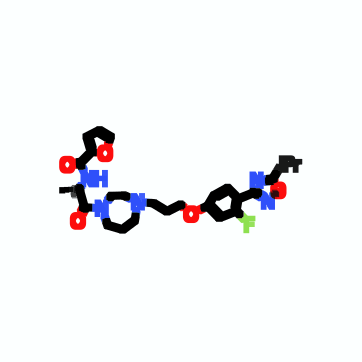 CC(C)c1nc(-c2ccc(OCCCN3CCCN(C(=O)[C@H](C)NC(=O)c4ccco4)CC3)cc2F)no1